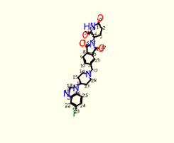 O=C1CCC(N2C(=O)c3ccc(CN4CCC(n5cnc6cc(F)ccc65)CC4)cc3C2=O)C(=O)N1